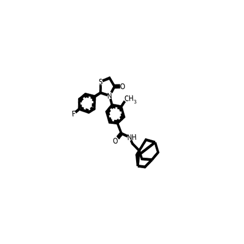 Cc1cc(C(=O)NCC23CC4CC(CC(C4)C2)C3)ccc1N1C(=O)CSC1c1ccc(F)cc1